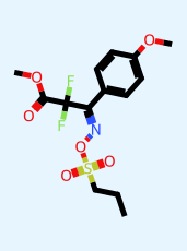 CCCS(=O)(=O)ON=C(c1ccc(OC)cc1)C(F)(F)C(=O)OC